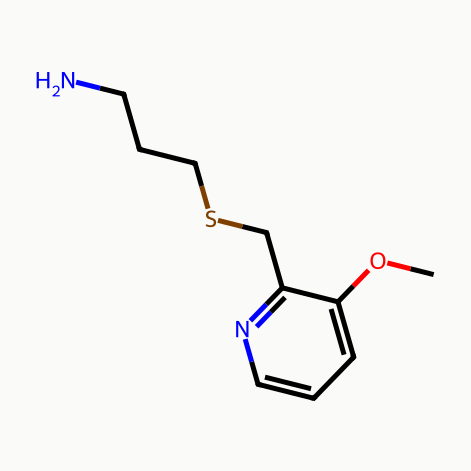 COc1cccnc1CSCCCN